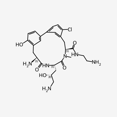 CN1C(=O)[C@H](C[C@@H](O)CN)NC(=O)[C@@H](N)Cc2cc(ccc2O)-c2ccc(Cl)c(c2)C[C@H]1C(=O)NCCN